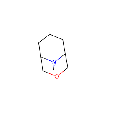 CN1C2C[CH]CC1COC2